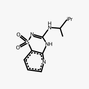 CC(C)C(C)NC1=NS(=O)(=O)c2cccnc2N1